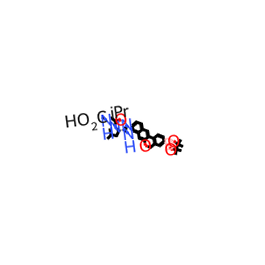 CC1C[C@@H](c2nc3ccc4cc5c(cc4c3[nH]2)OCc2cc(B3OC(C)(C)C(C)(C)O3)ccc2-5)N(C(=O)[C@@H](NC(=O)O)C(C)C)C1